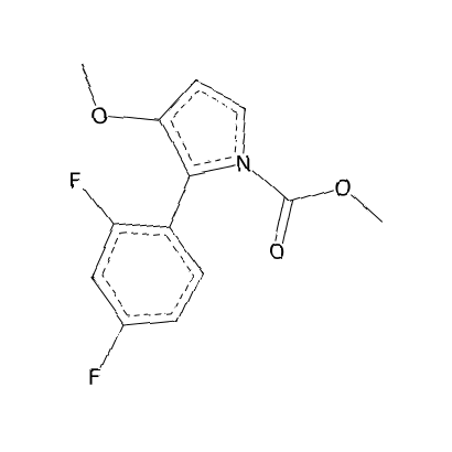 COC(=O)n1ccc(OC)c1-c1ccc(F)cc1F